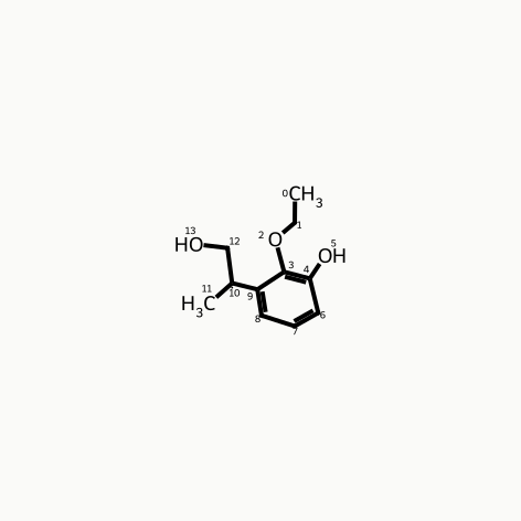 CCOc1c(O)cccc1[C](C)CO